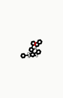 c1ccc(-c2nc3cc4oc5cccc(N(c6ccc7ccccc7c6)c6ccccc6-c6ccccc6)c5c4cc3o2)cc1